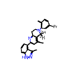 [2H]C1([2H])c2c(C)cc(-c3cccc4[nH]nc(C)c34)nc2CCN1c1cc(C(C)C)ccc1C